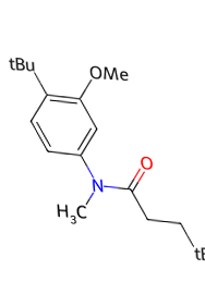 COc1cc(N(C)C(=O)CCC(C)(C)C)ccc1C(C)(C)C